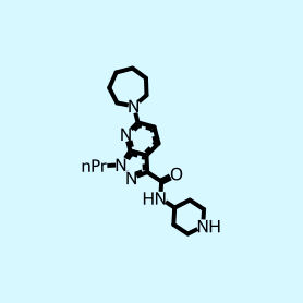 CCCn1nc(C(=O)NC2CCNCC2)c2ccc(N3CCCCCC3)nc21